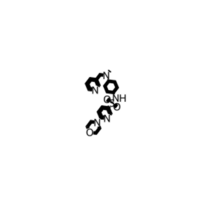 CN(Cc1cccnc1)[C@H]1CC[C@H](NS(=O)(=O)c2ccc(N3CCOCC3)nc2)CC1